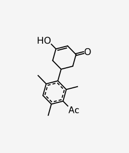 CC(=O)c1c(C)cc(C)c(C2CC(=O)C=C(O)C2)c1C